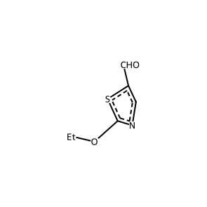 CCOc1ncc(C=O)s1